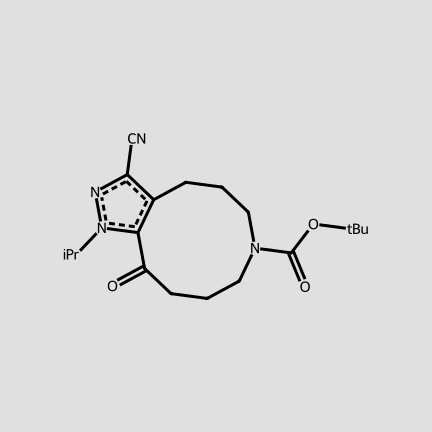 CC(C)n1nc(C#N)c2c1C(=O)CCCN(C(=O)OC(C)(C)C)CCC2